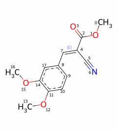 COC(=O)/C(C#N)=C/c1ccc(OC)c(OC)c1